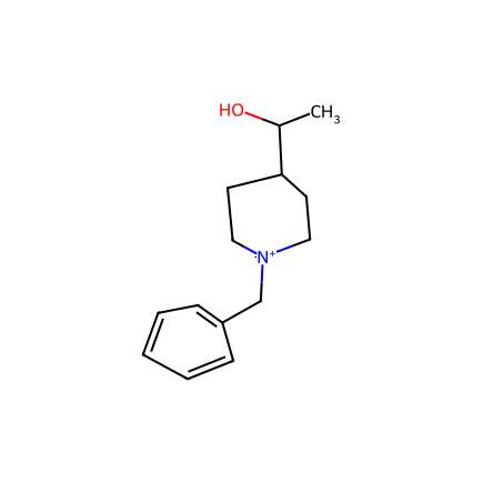 CC(O)C1CC[N+](Cc2ccccc2)CC1